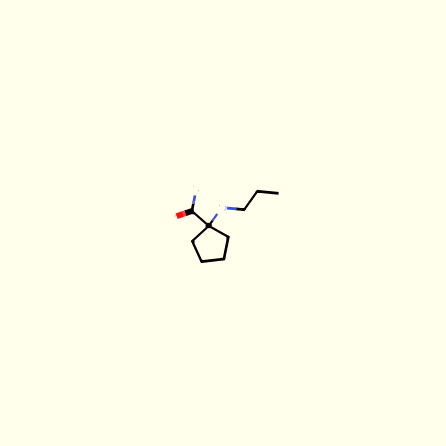 CCCNC1(C(N)=O)CCCC1